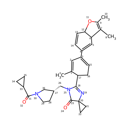 CC1=CC(C2=CC3C(C)=C(C)OC3C=C2)=CCC1C1=NC2(CC2)C(=O)N1C[C@@H]1CCN(C(=O)C2CC2)C1